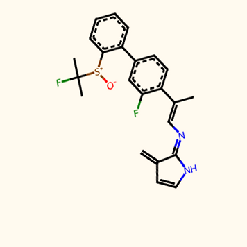 C=C1C=CN/C1=N/C=C(\C)c1ccc(-c2ccccc2[S+]([O-])C(C)(C)F)cc1F